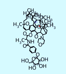 COC(=O)/C(C)=C\CC12OC(C)(C)C3CC(C1=O)C(N1CCOCC1)C1C(=O)c4c(OC(=O)C(C)NC(=O)c5ccc(O[C@@H]6O[C@H](CO)[C@@H](O)[C@@H](O)[C@H]6O)cc5)c5c(c(CC=C(C)C)c4OC132)OC(C)(CCC=C(C)C)C=C5